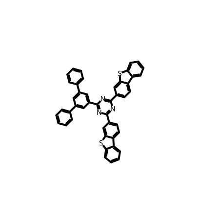 c1ccc(-c2cc(-c3ccccc3)cc(-c3nc(-c4ccc5c(c4)sc4ccccc45)nc(-c4ccc5c(c4)sc4ccccc45)n3)c2)cc1